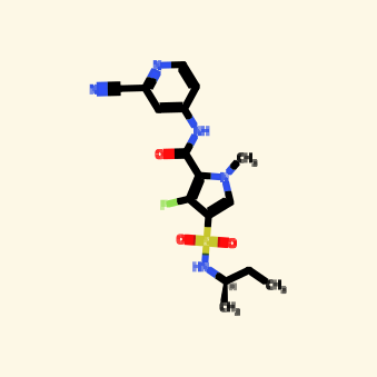 CC[C@@H](C)NS(=O)(=O)c1cn(C)c(C(=O)Nc2ccnc(C#N)c2)c1F